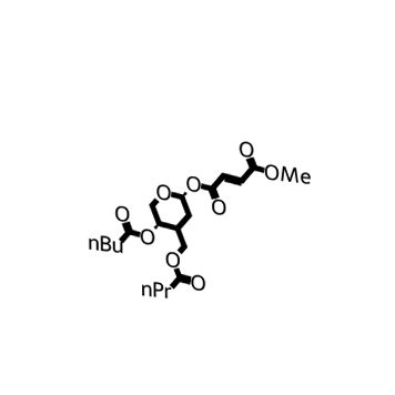 CCCCC(=O)O[C@@H]1CO[C@H](OC(=O)/C=C/C(=O)OC)CC1COC(=O)CCC